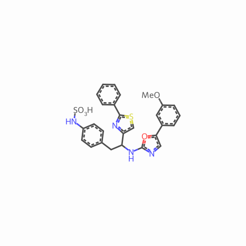 COc1cccc(-c2cnc(NC(Cc3ccc(NS(=O)(=O)O)cc3)c3csc(-c4ccccc4)n3)o2)c1